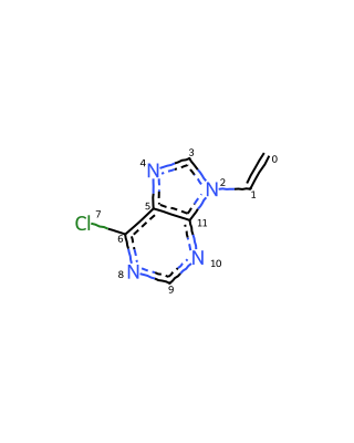 C=Cn1cnc2c(Cl)ncnc21